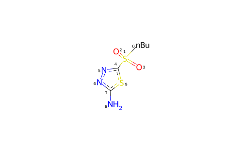 CCCCS(=O)(=O)c1nnc(N)s1